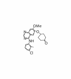 COc1cc2ncnc(Nc3cccc(Cl)c3C)c2cc1OC1CCC(=O)CC1